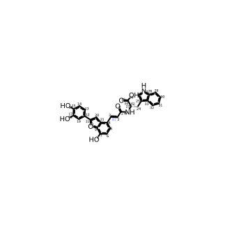 O=C(/C=C/c1ccc(O)c2oc(-c3ccc(O)c(O)c3)cc12)N[C@@H](Cc1c[nH]c2ccccc12)C(=O)O